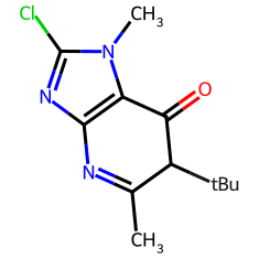 CC1=Nc2nc(Cl)n(C)c2C(=O)C1C(C)(C)C